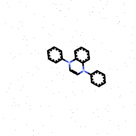 C1=CN(c2ccccc2)c2ccccc2N1c1ccccc1